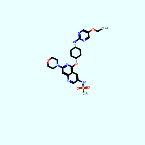 CS(=O)(=O)Nc1cnc2cc(N3CCOCC3)nc(O[C@H]3CC[C@@H](Nc4ncc(OCC=O)cn4)CC3)c2c1